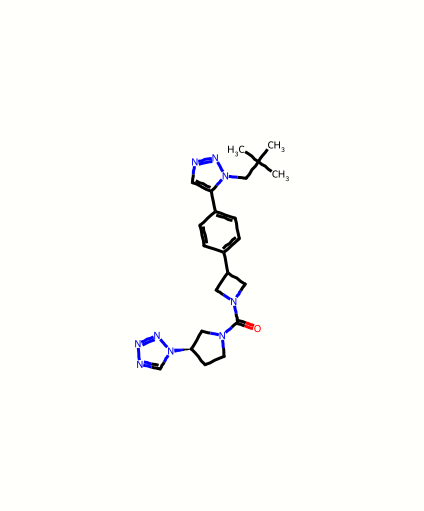 CC(C)(C)Cn1nncc1-c1ccc(C2CN(C(=O)N3CC[C@@H](n4cnnn4)C3)C2)cc1